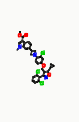 COC(=O)c1cn(C)c2cc(C3CN(c4ccc(OCc5c(-c6c(Cl)cccc6Cl)noc5C5CC5)cc4Cl)C3)ccc12